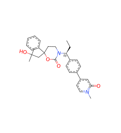 CC[C@@H](c1ccc(-c2ccn(C)c(=O)c2)cc1)N1CCC(CC(C)(C)O)(c2ccccc2)OC1=O